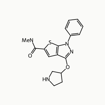 CNC(=O)c1cc2c(OC3CCNC3)nn(-c3ccccc3)c2s1